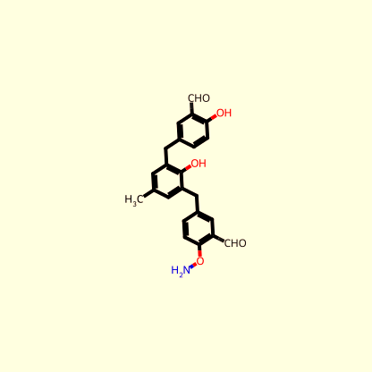 Cc1cc(Cc2ccc(O)c(C=O)c2)c(O)c(Cc2ccc(ON)c(C=O)c2)c1